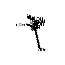 CCCCCCCCCCCCCCCCCCCCCCCCCC(=O)N[C@@H](CO[C@H]1O[C@H](COC(=O)Nc2ccncc2)[C@H](O)[C@H](O)[C@H]1O)[C@H](O)[C@H](O)CCCCCCCCCCCCCC